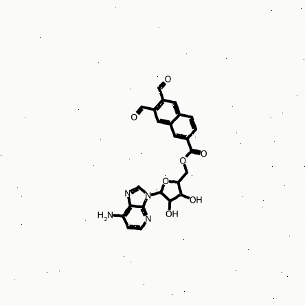 Nc1ccnc2c1ncn2C1OC(COC(=O)c2ccc3cc(C=O)c(C=O)cc3c2)C(O)C1O